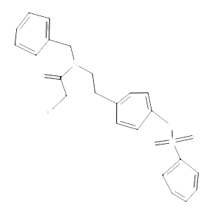 O=C(CBr)N(Cc1ccccc1)C[C@@H](O)c1ccc(OS(=O)(=O)c2ccccc2)cc1